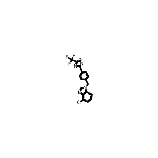 FC(F)(F)c1nc(-c2ccc(Cn3cnc4c(Cl)cccc43)cc2)no1